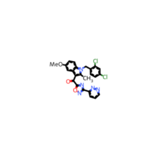 COc1ccc2c(c1)c(C(=O)c1nc(-c3cccnn3)no1)c(C)n2Cc1ccc(Cl)cc1Cl